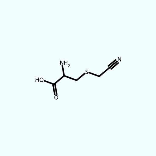 N#CCSCC(N)C(=O)O